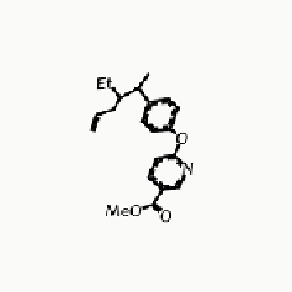 C=CCC(CC)C(C)c1ccc(Oc2ccc(C(=O)OC)cn2)cc1